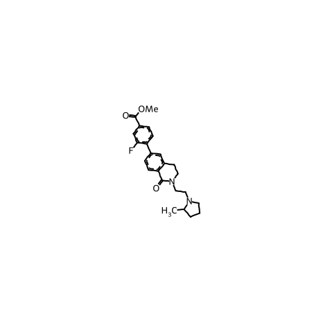 COC(=O)c1ccc(-c2ccc3c(c2)CCN(CCN2CCCC2C)C3=O)c(F)c1